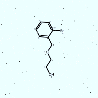 OCCOCc1ccccc1Br